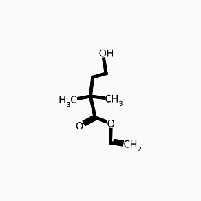 C=COC(=O)C(C)(C)CCO